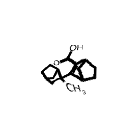 CC1(C2=C(C(=O)O)C3CCC2C3)CC2CCC1C2